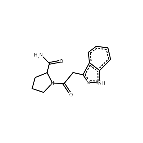 NC(=O)C1CCCN1C(=O)Cc1n[nH]c2ccccc12